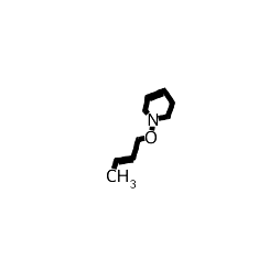 C/C=C/CON1CC=CCC1